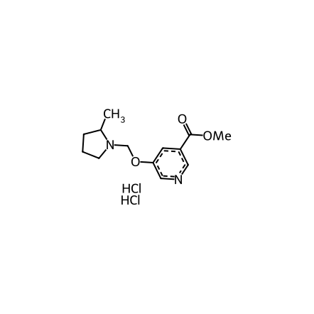 COC(=O)c1cncc(OCN2CCCC2C)c1.Cl.Cl